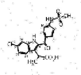 CC(C(=O)O)c1c(C(=O)c2ccc(NS(C)(=O)=O)cc2)[nH]c2cc(Cl)ccc12